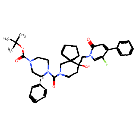 CC(C)(C)OC(=O)N1CCN(C(=O)N2CCC(O)(Cn3cc(F)c(-c4ccccc4)cc3=O)C3(CCCC3)C2)[C@H](c2ccccc2)C1